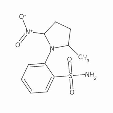 CC1CCC([N+](=O)[O-])N1c1ccccc1S(N)(=O)=O